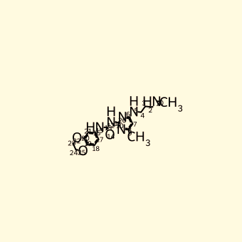 CNCCCNc1cc(C)nc(NC(=O)Nc2ccc3c(c2)OCCO3)n1